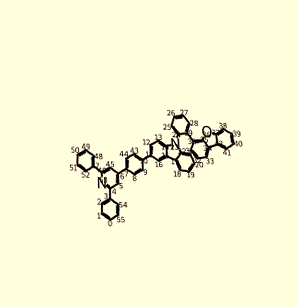 c1ccc(-c2cc(-c3ccc(-c4ccc5c(c4)c4ccccc4n5-c4ccccc4-c4cccc5c4oc4ccccc45)cc3)cc(-c3ccccc3)n2)cc1